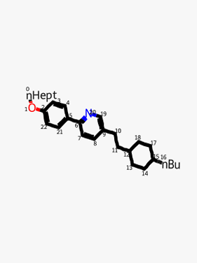 CCCCCCCOc1ccc(-c2ccc(CCC3CCC(CCCC)CC3)cn2)cc1